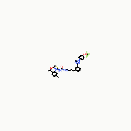 Cc1ccc(C(C)C)c(N2C(=O)CS/C2=N\C(=O)NCCCCc2cccc(-c3ncn(-c4ccc(OC(F)(F)F)cc4)n3)c2)c1